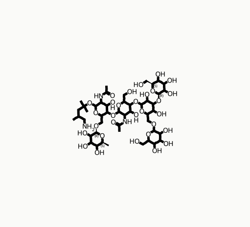 CC(=O)NC1C(OC2C(CO[C@@H]3O[C@@H](C)C(O)C(O)C3O)OC(OC(C)(C)CC(C)CN)C(NC(C)=O)C2O)OC(CO)C(OC2OC(COC3OC(CO)C(O)C(O)C3O)C(O)C(O[C@H]3O[C@@H](CO)C(O)C(O)C3O)C2O)C1O